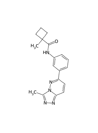 Cc1nnc2ccc(-c3cccc(NC(=O)C4(C)CCC4)c3)nn12